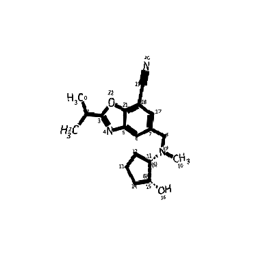 CC(C)c1nc2cc(CN(C)[C@H]3CCC[C@H]3O)cc(C#N)c2o1